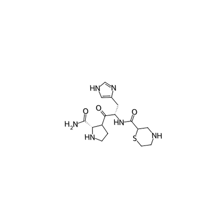 NC(=O)[C@H]1NCCC1C(=O)[C@H](Cc1c[nH]cn1)NC(=O)C1CNCCS1